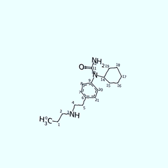 CCCNCCc1ccc(N(C(N)=O)C2CCCCC2)cc1